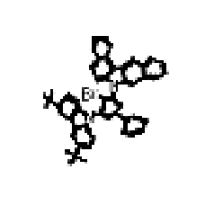 CC(C)(C)c1ccc2c(c1)c1cc(C(C)(C)C)ccc1n2-c1cc(-c2ccccc2)cc(-n2c3cc4ccccc4cc3c3c4ccccc4ccc32)c1Br